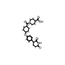 O=C1CCC(c2ccc(OC3CCC(C(=O)N4CCC(C(=O)O)CC4)CC3)cc2)C(=O)N1